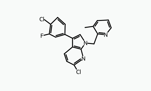 Cc1cccnc1Cn1cc(-c2ccc(Cl)c(F)c2)c2ccc(Cl)nc21